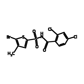 Cc1cc(S(=O)(=O)NC(=O)c2ccc(Cl)cc2Cl)sc1Br